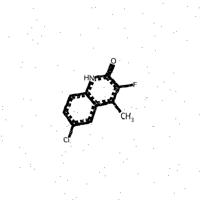 Cc1c(F)c(=O)[nH]c2ccc(Cl)cc12